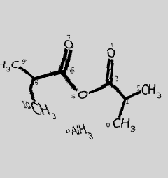 CC(C)C(=O)OC(=O)C(C)C.[AlH3]